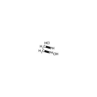 C=P.C=P.Cl.Cl